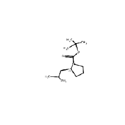 CC(C)C[C@@H]1CCCN1C(=O)OC(C)(C)C